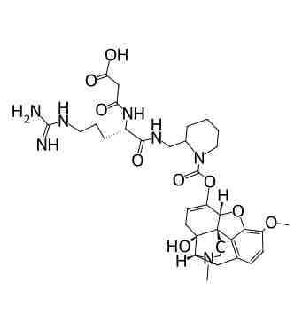 COc1ccc2c3c1O[C@H]1C(OC(=O)N4CCCCC4CNC(=O)[C@H](CCCNC(=N)N)NC(=O)CC(=O)O)=CC[C@@]4(O)[C@@H](C2)N(C)CC[C@]314